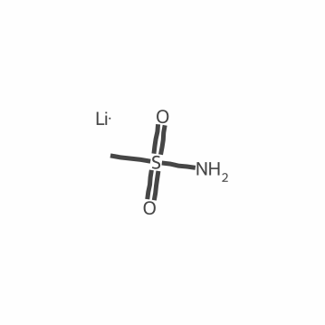 CS(N)(=O)=O.[Li]